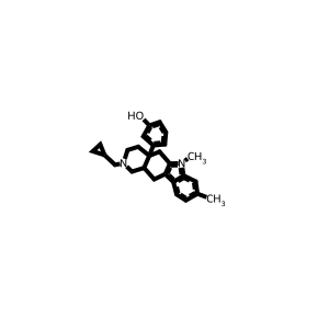 Cc1ccc2c3c(n(C)c2c1)CC1(c2cccc(O)c2)CCN(CC2CC2)CC1C3